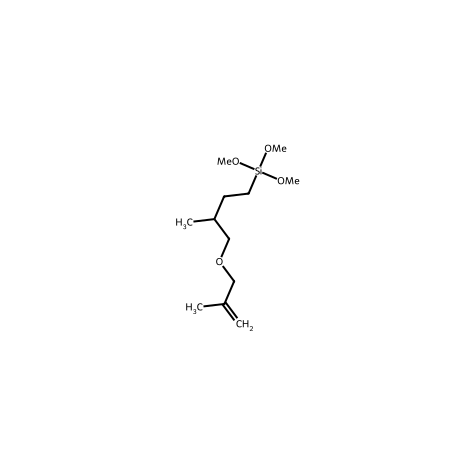 C=C(C)COCC(C)CC[Si](OC)(OC)OC